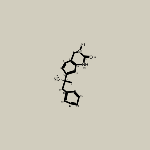 CCN1Cc2ccc([C@](C)(C#N)Cc3ccccc3)cc2NC1=O